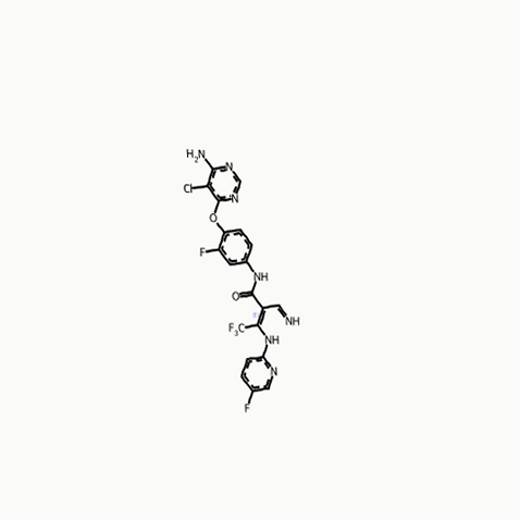 N=C/C(C(=O)Nc1ccc(Oc2ncnc(N)c2Cl)c(F)c1)=C(\Nc1ccc(F)cn1)C(F)(F)F